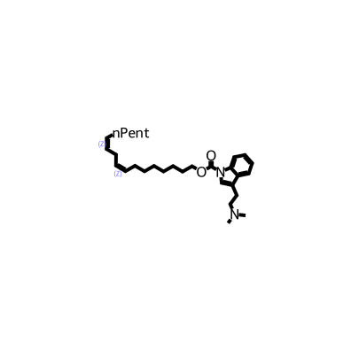 CCCCC/C=C\C/C=C\CCCCCCCOC(=O)n1cc(CCN(C)C)c2ccccc21